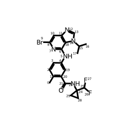 Cc1ccc(Nc2nc(Br)cc3ncn(C(C)C)c23)cc1C(=O)NC1(C(F)F)CC1